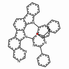 c1ccc(-c2nc(-c3ccccc3)nc(-n3c4c(ccc5cncnc54)c4ccc5c6ccccc6n(-c6ccccc6)c5c43)n2)cc1